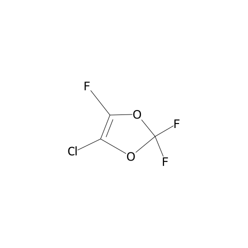 FC1=C(Cl)OC(F)(F)O1